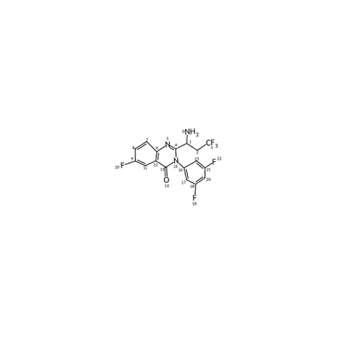 NC(CC(F)(F)F)c1nc2ccc(F)cc2c(=O)n1-c1cc(F)cc(F)c1